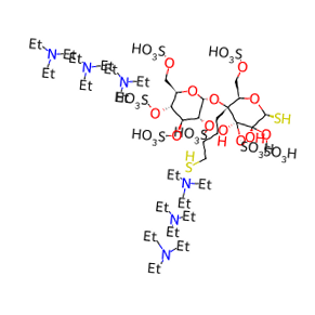 CCN(CC)CC.CCN(CC)CC.CCN(CC)CC.CCN(CC)CC.CCN(CC)CC.CCN(CC)CC.O=S(=O)(O)OC[C@H]1O[C@H](O[C@]2(CCCCS)[C@@H](COS(=O)(=O)O)O[C@@H](S)[C@](O)(OS(=O)(=O)O)[C@@]2(O)OS(=O)(=O)O)[C@H](OS(=O)(=O)O)[C@@H](OS(=O)(=O)O)[C@@H]1OS(=O)(=O)O